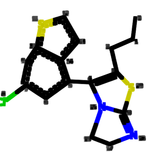 CCCC1=C(c2cc(Cl)cc3sccc23)N2CCN=C2S1